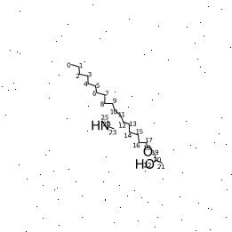 CCCCCCCCCCCCCCCCCCOCC(C)O.CNC